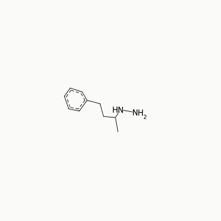 CC(CCc1ccccc1)NN